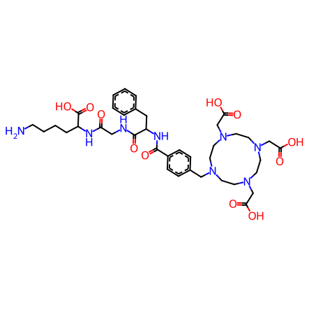 NCCCCC(NC(=O)CNC(=O)C(Cc1ccccc1)NC(=O)c1ccc(CN2CCN(CC(=O)O)CCN(CC(=O)O)CCN(CC(=O)O)CC2)cc1)C(=O)O